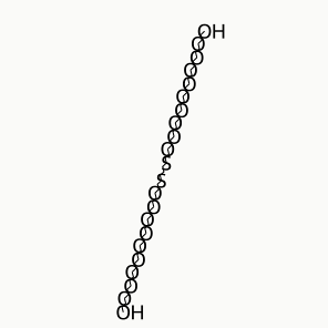 OCCOCCOCCOCCOCCOCCOCCOCCOCCOCCSCCCSCCOCCOCCOCCOCCOCCOCCOCCOCCOCCO